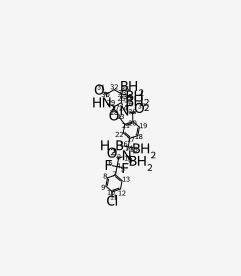 BN(C(=O)C(F)(F)c1ccc(Cl)cc1)C(B)(B)c1ccc2c(c1)CN([C@@]1(B)C(=O)NC(=O)CC1(B)B)C2=O